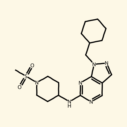 CS(=O)(=O)N1CCC(Nc2ncc3cnn(CC4CCCCC4)c3n2)CC1